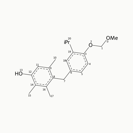 COCOc1ccc(Cc2c(C)cc(O)c(C)c2C)cc1C(C)C